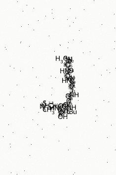 Cc1ncsc1-c1ccc(CNC(=O)[C@@H]2C[C@@H](O)CN2C(=O)[C@@H](NC(=O)COCC(=O)NCCC2CCN(Cc3nc4cc(NC(=O)c5ccc6c(cnn6C)c5)ccc4[nH]3)C2)C(C)(C)C)cc1